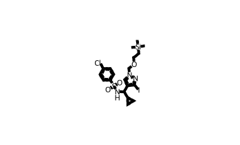 C[Si](C)(C)CCOCn1cc(C(NS(=O)(=O)c2ccc(Cl)cc2)C2CC2)c(I)n1